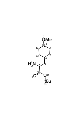 CON1CCC(CC(N)C(=O)OC(C)(C)C)CC1